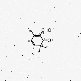 CC1=C([C]=O)C(=O)C(C)(C)C=C1